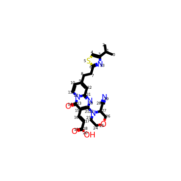 CC(C)c1csc(CCc2ccn3c(=O)c(/C=C/C(=O)O)c(N4CCOCC4C#N)nc3c2)n1